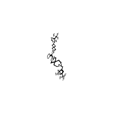 O=C(N1CC2(CCN(Cc3cc(C(F)(F)F)[nH]n3)CC2)C1)N1CC2(CC(n3cnc(C(F)(F)F)n3)C2)C1